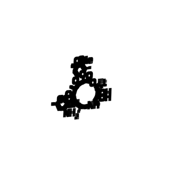 CC[C@H]1OC(=O)[C@H](C)[C@@H](O[C@H]2C[C@@](C)(OC)[C@]3(CO3)[C@H](C)O2)[C@H](C)[C@@H](O[C@@H]2O[C@H](C)C[C@H](N)[C@H]2O)[C@](C)(O)C[C@@H](C)CN[C@H](C)[C@@H](O)[C@]1(C)O